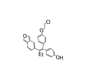 CCC(=C(c1ccc(O)cc1)c1ccc(OCCCl)cc1)c1ccc2cocc2c1